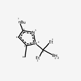 BC(CC)(CC)n1nc(CCCC)cc1C